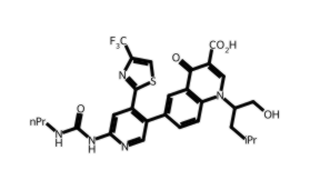 CCCNC(=O)Nc1cc(-c2nc(C(F)(F)F)cs2)c(-c2ccc3c(c2)c(=O)c(C(=O)O)cn3C(CO)CC(C)C)cn1